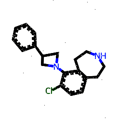 Clc1ccc2c(c1N1CC(c3ccccc3)C1)CCNCC2